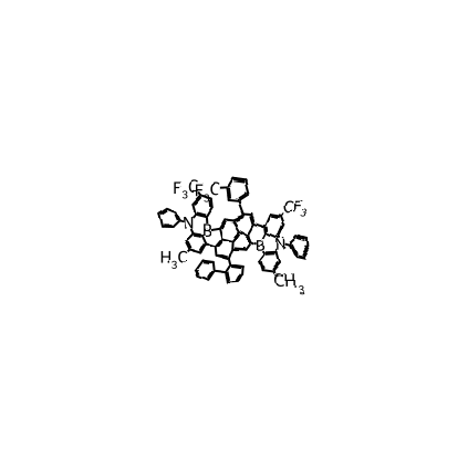 Cc1ccc2c(c1)N(c1ccccc1)c1cc(C(F)(F)F)cc3c1B2c1cc2c(-c4ccccc4-c4ccccc4)cc4c5c(cc6c(-c7cccc(C(F)(F)F)c7)cc-3c1c6c25)B1c2ccc(C(F)(F)F)cc2N(c2ccccc2)c2cc(C)cc-4c21